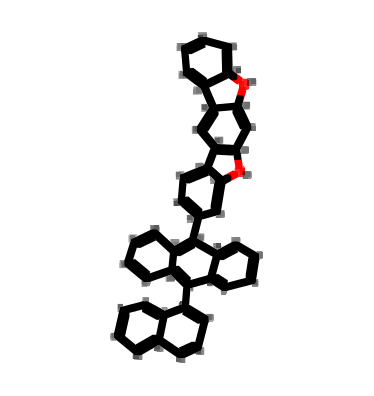 c1ccc2c(-c3c4ccccc4c(-c4ccc5c(c4)oc4cc6oc7ccccc7c6cc45)c4ccccc34)cccc2c1